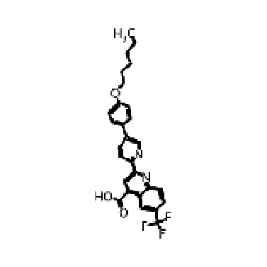 CCCCCCOc1ccc(-c2ccc(-c3cc(C(=O)O)c4cc(C(F)(F)F)ccc4n3)nc2)cc1